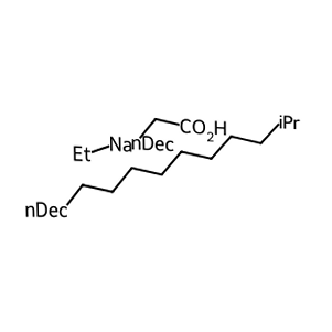 CCCCCCCCCCCC(=O)O.CCCCCCCCCCCCCCCCCCC(C)C.C[CH2][Na]